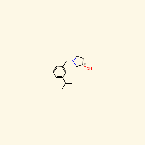 CC(C)c1cccc(CN2CC[C@@H](O)C2)c1